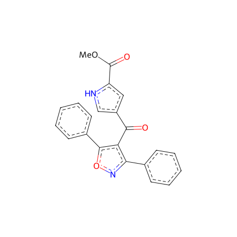 COC(=O)c1cc(C(=O)c2c(-c3ccccc3)noc2-c2ccccc2)c[nH]1